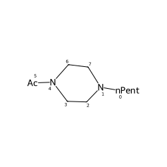 CCCCCN1CCN(C(C)=O)CC1